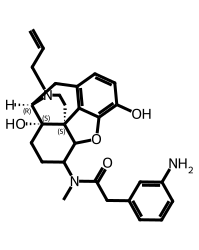 C=CCN1CC[C@]23c4c5ccc(O)c4OC2C(N(C)C(=O)Cc2cccc(N)c2)CC[C@@]3(O)[C@H]1C5